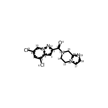 O=C(c1cc2c(Cl)cc(Cl)cn2n1)N1CCn2ccnc2C1